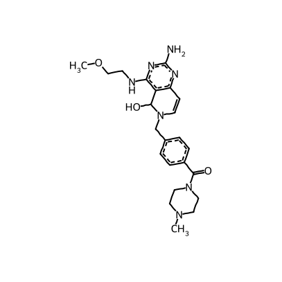 COCCNc1nc(N)nc2c1C(O)N(Cc1ccc(C(=O)N3CCN(C)CC3)cc1)C=C2